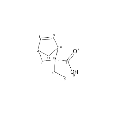 CCC1(C(=O)O)CC2C=CC1C2